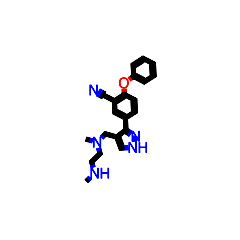 CNCCN(C)Cc1c[nH]nc1-c1ccc(Oc2ccccc2)c(C#N)c1